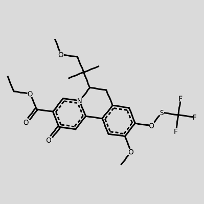 CCOC(=O)c1cn2c(cc1=O)-c1cc(OC)c(OSC(F)(F)F)cc1CC2C(C)(C)COC